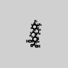 CCC1c2ccc(F)c(F)c2CCN1c1cc(O)c(C(=O)O)cn1